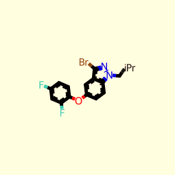 CC(C)Cn1nc(Br)c2cc(Oc3ccc(F)cc3F)ccc21